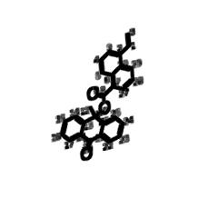 C=Cc1cccc2c(C(=O)OC3(C)c4ccccc4C(=O)c4ccccc43)cccc12